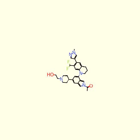 CC(=O)n1cc2cc(C3CCN(CCO)CC3)cc(N3CCCc4cc(-c5cnn(C)c5)c(C(F)F)cc43)c2c1